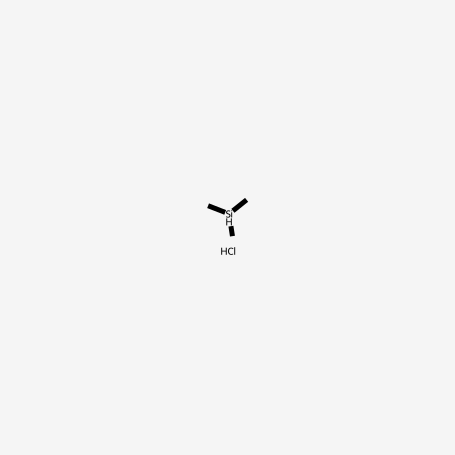 C[SiH](C)C.Cl